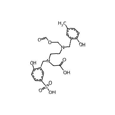 Cc1ccc(O)c(CN(CCN(CC(=O)O)Cc2cc(S(=O)(=O)O)ccc2O)COC=O)c1